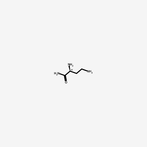 NCC[C@H](N)C(N)=O